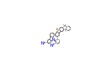 CC1(C)c2cc3sc4ccc(C5CC=CC(C#N)=C5n5c6ccccc6c6cc(C#N)ccc65)cc4c3cc2C2(C)C=CC=CC12